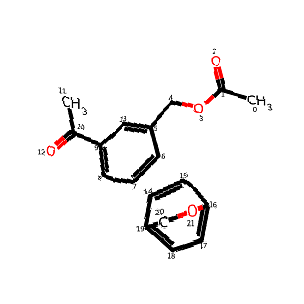 CC(=O)OCc1cccc(C(C)=O)c1.c1cc2ccc1CO2